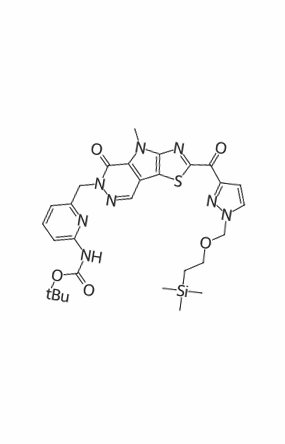 Cn1c2nc(C(=O)c3ccn(COCC[Si](C)(C)C)n3)sc2c2cnn(Cc3cccc(NC(=O)OC(C)(C)C)n3)c(=O)c21